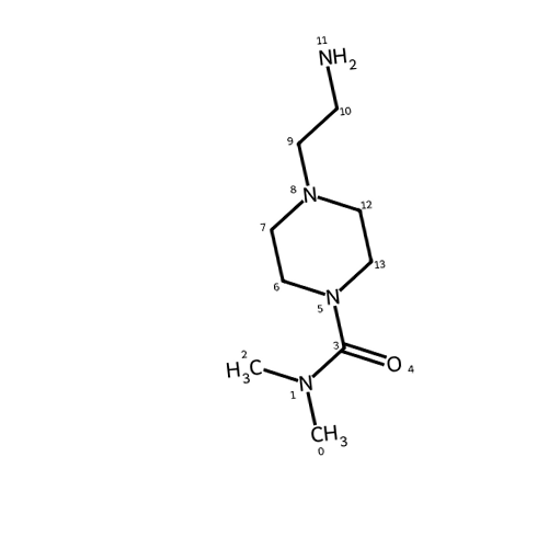 CN(C)C(=O)N1CCN(CCN)CC1